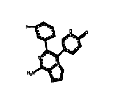 Nc1nc(-c2cccc(F)c2)c(-c2ccc(=O)[nH]c2)n2ccnc12